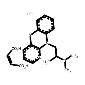 CC(CN1c2ccccc2Sc2cccnc21)N(C)C.Cl.O=C(O)/C=C\C(=O)O